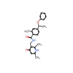 Cc1cc(=O)c(CNC(=O)c2ccc(C(C)Oc3ccccc3)cc2C)c(C)[nH]1